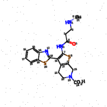 CC[C@@H](C)NCCC(=O)Nc1sc2c(c1-c1nc3ccccc3s1)CCN(C(=O)O)C2